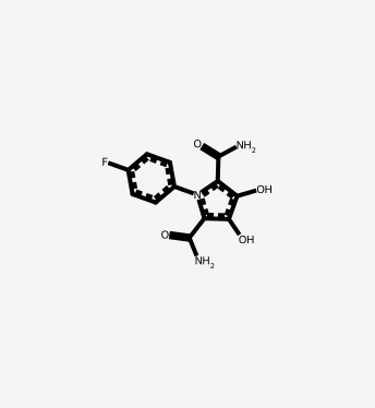 NC(=O)c1c(O)c(O)c(C(N)=O)n1-c1ccc(F)cc1